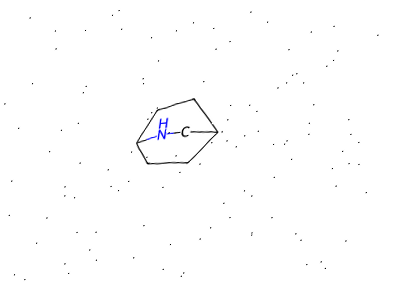 C1CC2CC[C]1CN2